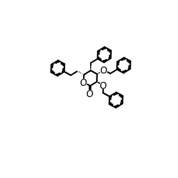 O=C1O[C@H](CCc2ccccc2)[C@@H](Cc2ccccc2)[C@H](OCc2ccccc2)[C@H]1OCc1ccccc1